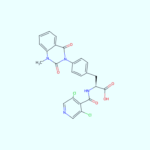 Cn1c(=O)n(-c2ccc(C[C@H](NC(=O)c3c(Cl)cncc3Cl)C(=O)O)cc2)c(=O)c2ccccc21